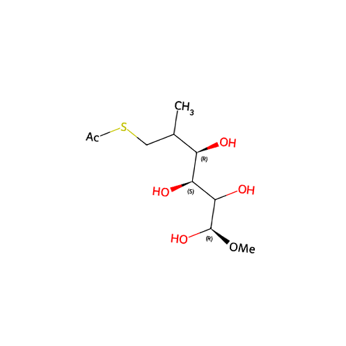 CO[C@@H](O)C(O)[C@@H](O)[C@H](O)C(C)CSC(C)=O